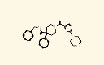 C[C@H](NC(=O)C1(c2ccccc2)CCN(C(=O)c2cnc(N3CCOCC3)s2)CC1)c1ccccc1